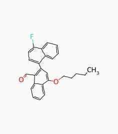 CCCCCOc1cc(-c2ccc(F)c3ccccc23)c(C=O)c2ccccc12